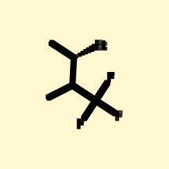 CC[C@@H](C)C(C)C(F)(F)F